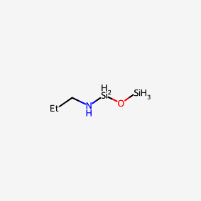 CCCN[SiH2]O[SiH3]